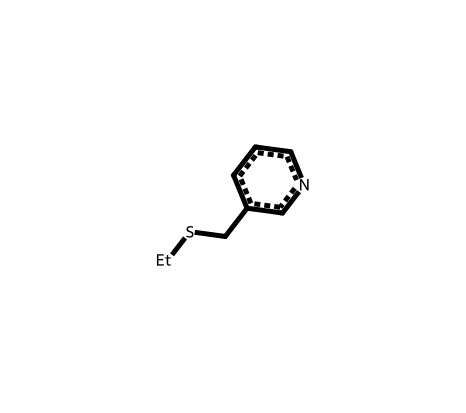 [CH2]CSCc1cccnc1